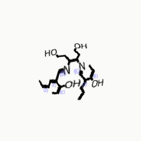 C=C/C=C(/C=N/C(CCO)C(CCO)/N=C/C(=C/C=C\C)C(/O)=C\C)C(\O)=C/C